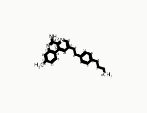 C[CH]C[CH]c1ccc(CCc2cnc3c(N)nc4cc(C)ccc4c3c2)cc1